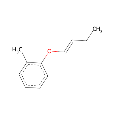 CCC=COc1ccccc1C